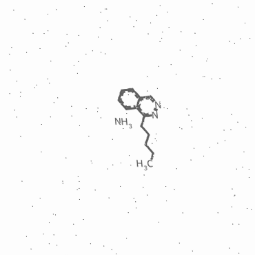 CCCCCc1nncc2ccccc12.N